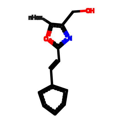 CCCCCCc1oc(C=Cc2ccccc2)nc1CO